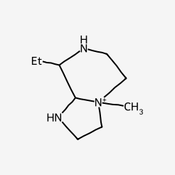 CCC1NCC[N+]2(C)CCNC12